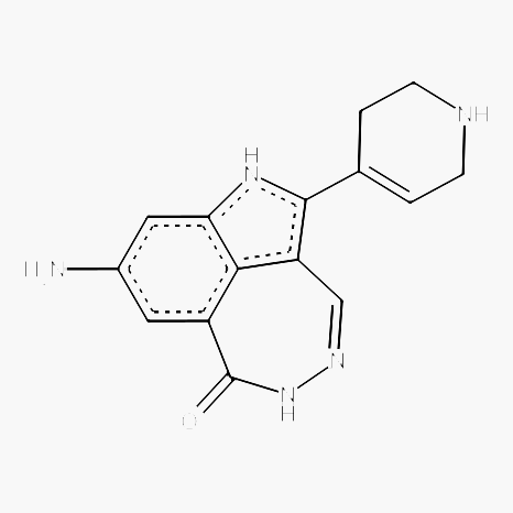 Nc1cc2c3c(c(C4=CCNCC4)[nH]c3c1)C=NNC2=O